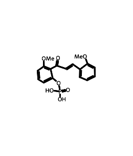 COc1ccccc1/C=C/C(=O)c1c(OC)cccc1OP(=O)(O)O